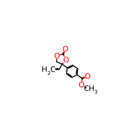 C=CC1(c2ccc(C(=O)OC)cc2)COC(=O)O1